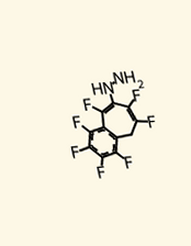 NNC1=C(F)c2c(F)c(F)c(F)c(F)c2CC(F)=C1F